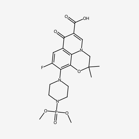 COP(=O)(OC)N1CCN(c2c(F)cc3c(=O)c(C(=O)O)cn4c3c2OC(C)(C)C4)CC1